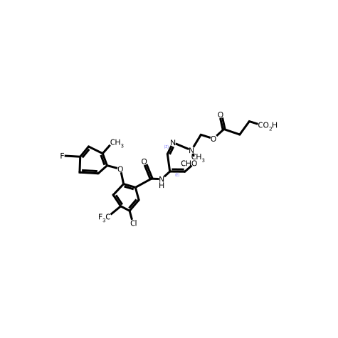 Cc1cc(F)ccc1Oc1cc(C(F)(F)F)c(Cl)cc1C(=O)NC(/C=N\N(C)COC(=O)CCC(=O)O)=C/C=O